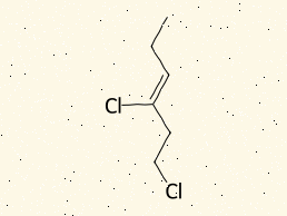 CC/C=C(\Cl)CCCl